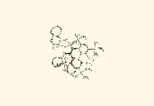 CCCC(C)(Oc1cccc2ccccc12)POc1c(C(C)(C)C)cc(C(C)(C)C)c(C)c1-c1c(C)c(C(C)(C)C)cc(C(C)(C)C)c1Op1oc2ccccc2c2ccccc2o1